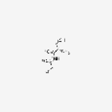 N[C@@H](CS)C(=O)NC(=O)CI